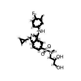 Cc1cc(Nc2nn(C3CC3)c3ccc(S(=O)(=O)N(C)CC(O)CO)cc23)ccc1F